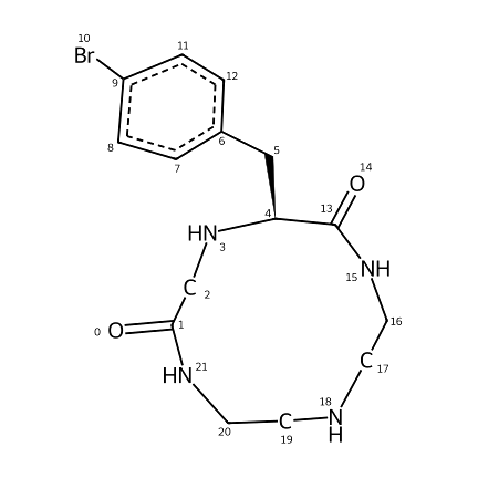 O=C1CN[C@@H](Cc2ccc(Br)cc2)C(=O)NCCNCCN1